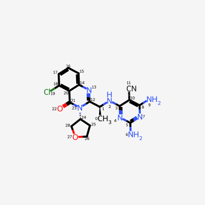 C[C@H](Nc1nc(N)nc(N)c1C#N)c1nc2cccc(Cl)c2c(=O)n1[C@@H]1CCOC1